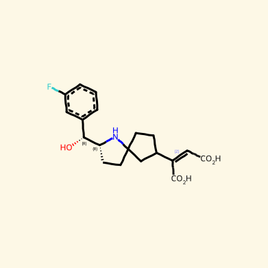 O=C(O)/C=C(\C(=O)O)C1CCC2(CC[C@H]([C@H](O)c3cccc(F)c3)N2)C1